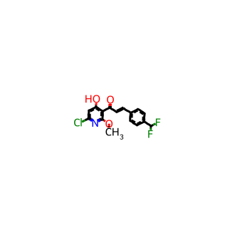 COc1nc(Cl)cc(O)c1C(=O)C=Cc1ccc(C(F)F)cc1